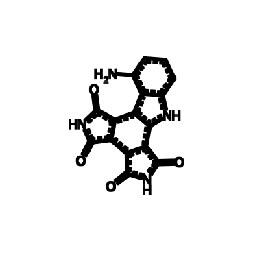 Nc1cccc2[nH]c3c4c(=O)[nH]c(=O)c4c4c(=O)[nH]c(=O)c4c3c12